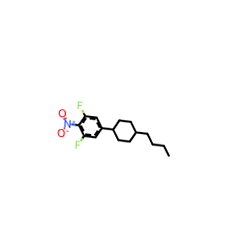 CCCCC1CCC(c2cc(F)c([N+](=O)[O-])c(F)c2)CC1